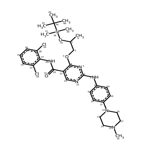 CC(COc1nc(Nc2ccc(N3CCN(C)CC3)cc2)ncc1C(=O)Nc1c(Cl)cccc1Cl)O[Si](C)(C)C(C)(C)C